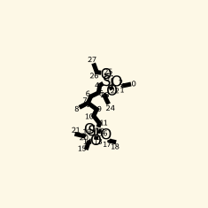 CCO[Si](CCC[C](C)CCC[Si](OCC)(OCC)OCC)(OCC)OCC